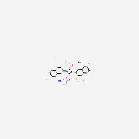 CCC1(C)N=c2c(OS)c(S)c(S)c3c(S)c(S)/c(=C4\C(=O)C(c5c(S)c(S)c6c(S)c(S)c(S)c7c6c5NC(C)(C)N7)=C4OOC)c(c23)N1